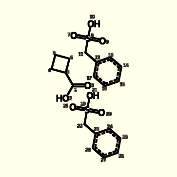 O=C(O)C1CCC1.O=S(=O)(O)Cc1ccccc1.O=S(=O)(O)Cc1ccccc1